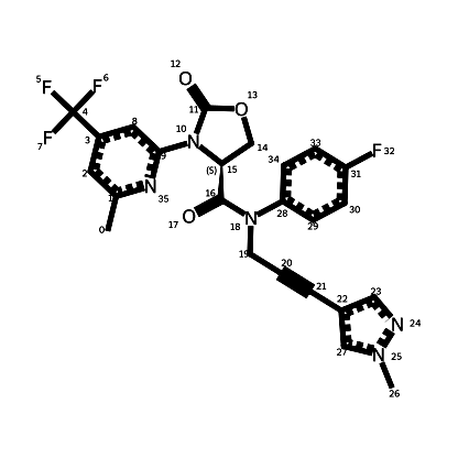 Cc1cc(C(F)(F)F)cc(N2C(=O)OC[C@H]2C(=O)N(CC#Cc2cnn(C)c2)c2ccc(F)cc2)n1